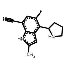 Cc1cc2c(C3CCCN3)c(F)cc(C#N)c2[nH]1